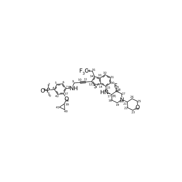 CP(C)(=O)c1ccc(NCC#Cc2sc3c(N[C@@H]4CCN(C5CCOCC5)C[C@@H]4F)cccc3c2CC(F)(F)F)c(OC2CC2)c1